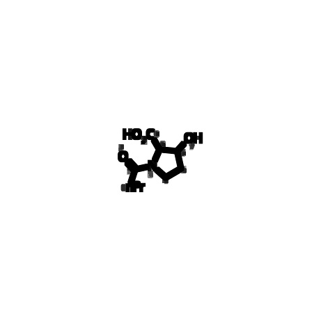 CCCC(=O)N1CCC(O)C1C(=O)O